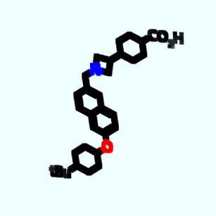 CC(C)(C)C1CCC(Oc2ccc3cc(CN4CC(C5CCC(C(=O)O)CC5)C4)ccc3c2)CC1